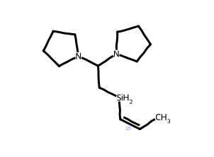 C/C=C\[SiH2]CC(N1CCCC1)N1CCCC1